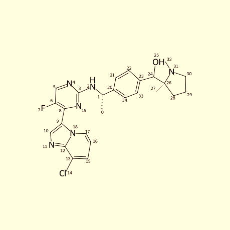 C[C@H](Nc1ncc(F)c(-c2cnc3c(Cl)cccn23)n1)c1ccc(C(O)[C@]2(C)CCCN2C)cc1